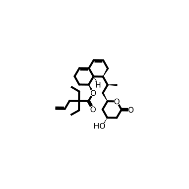 C=CCC(CC)(CC)C(=O)O[C@H]1CCC=C2C=CC[C@@H]([C@@H](C)C[C@@H]3C[C@@H](O)CC(=O)O3)[C@H]21